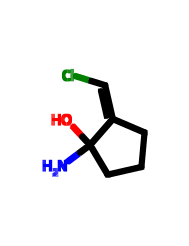 NC1(O)CCC/C1=C/Cl